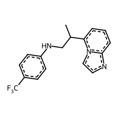 CC(CNc1ccc(C(F)(F)F)cc1)c1cccc2nccn12